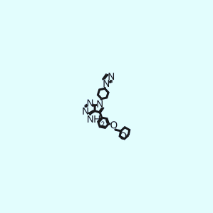 Nc1ncnc2c1c(-c1cccc(OCC34CCC(CC3)O4)c1)cn2C1CCC(n2ccnc2)CC1